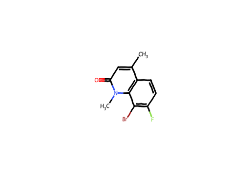 Cc1cc(=O)n(C)c2c(Br)c(F)ccc12